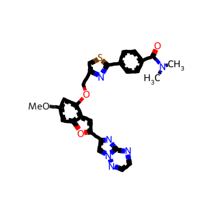 COc1cc(OCc2csc(-c3ccc(C(=O)N(C)C)cc3)n2)c2cc(-c3cn4nccnc4n3)oc2c1